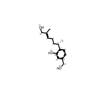 C/C(=C\CC[C@H](C)c1ccc(CO)cc1O)CO